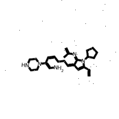 C=CC1=CC(=C/CC/C=C\C(=C/N)N2CCNCC2)/C(=N\C(=C)C)N1C1CCCC1